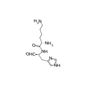 NCCCC[C@H](N)C(=O)N[C@H]([C]=O)Cc1c[nH]cn1